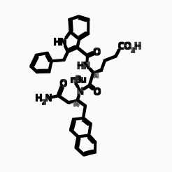 CCCCN(C(=O)[C@H](CCCC(=O)O)NC(=O)c1c(Cc2ccccc2)[nH]c2ccccc12)[C@H](CC(N)=O)Cc1ccc2ccccc2c1